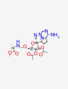 COC(=O)[C@H](C)NCOC[C@H]1O[C@@](C#N)(c2ccc3c(N)ncnn23)[C@H](OC(C)=O)[C@@H]1OC(C)=O